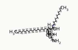 CCCCCCCCCC/C=C/[C@@H](O)[C@H](COP(=O)(O)OCCN)NC(=O)CCCCCCCCCCCCCCCCC